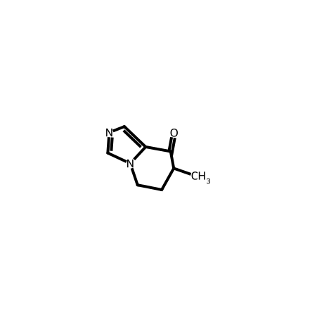 CC1CCn2cncc2C1=O